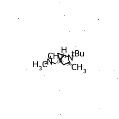 C[C@@H]1C[C@@]2(CN(C)C)C[C@H]2N1C(C)(C)C